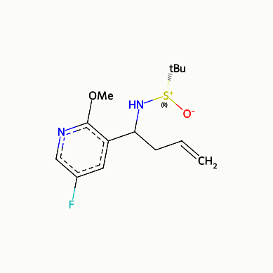 C=CCC(N[S@@+]([O-])C(C)(C)C)c1cc(F)cnc1OC